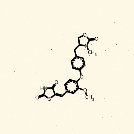 COc1cc(C=C2SC(=O)NC2=O)ccc1Oc1ccc(CC2COC(=O)N2C)cc1